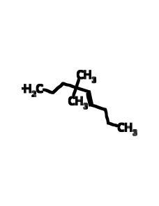 [CH2]CCC(C)(C)/C=C/CCC